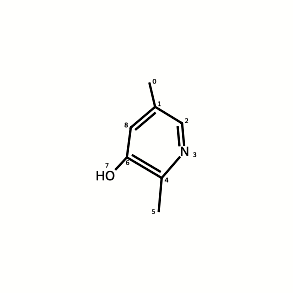 Cc1cnc(C)c(O)c1